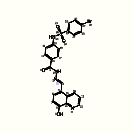 O=C(N/N=C/c1ccc(O)c2ncccc12)c1ccc(NS(=O)(=O)c2ccc(Br)cc2)cc1